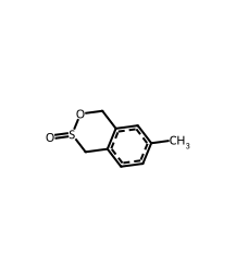 Cc1ccc2c(c1)COS(=O)C2